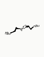 CCCCC[N]OCCCCC